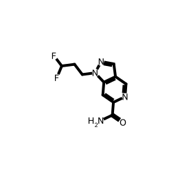 NC(=O)c1cc2c(cn1)cnn2CCC(F)F